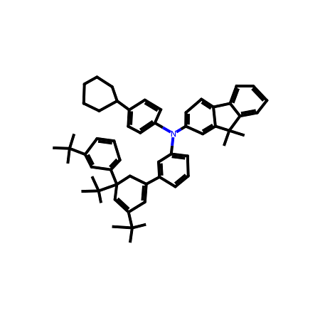 CC(C)(C)C1=CC(c2cccc(C(C)(C)C)c2)(C(C)(C)C)CC(c2cccc(N(c3ccc(C4CCCCC4)cc3)c3ccc4c(c3)C(C)(C)c3ccccc3-4)c2)=C1